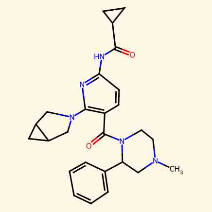 CN1CCN(C(=O)c2ccc(NC(=O)C3CC3)nc2N2CC3CC3C2)C(c2ccccc2)C1